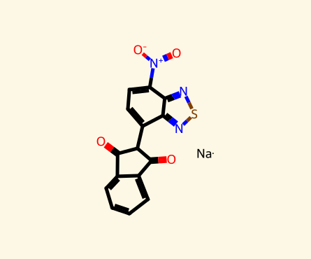 O=C1c2ccccc2C(=O)C1c1ccc([N+](=O)[O-])c2nsnc12.[Na]